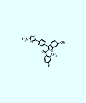 Cc1cc(F)ccc1C(=O)c1sc2cc(O)ccc2c1-c1ccc(-c2nc(N)cs2)cc1